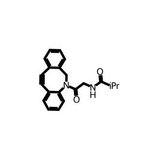 CC(C)C(=O)NCC(=O)N1Cc2ccccc2C#Cc2ccccc21